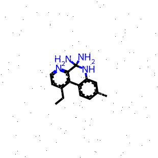 CCc1ccnc2c1-c1ccc(C)cc1NC2(N)N